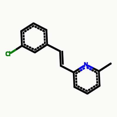 Cc1cccc(C=Cc2cccc(Cl)c2)n1